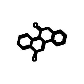 O=C1C=C2C(=C3C=CCC=C13)C(=O)Cc1ccccc12